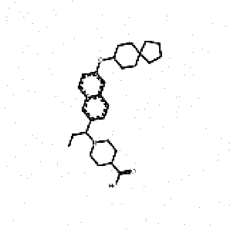 CCC(c1ccc2cc(OC3CCC4(CCCC4)CC3)ccc2c1)N1CCC(C(=O)O)CC1